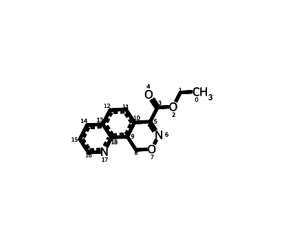 CCOC(=O)C1=NOCc2c1ccc1cccnc21